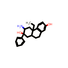 CCC12CC(N)C(O)(c3ccccc3)CC1CCc1cc(O)ccc12